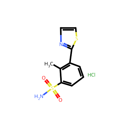 Cc1c(-c2nccs2)cccc1S(N)(=O)=O.Cl